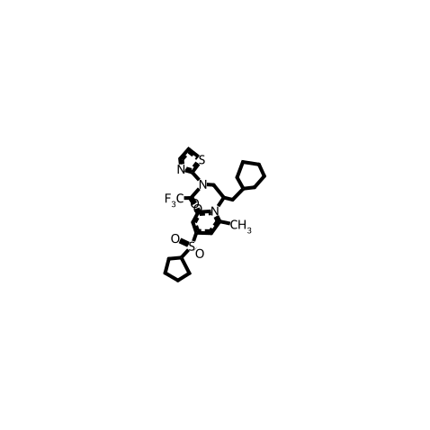 Cc1cc(S(=O)(=O)C2CCCC2)cc(=O)n1C(CC1CCCCC1)CN(C(=O)C(F)(F)F)c1nccs1